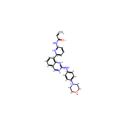 C=CC(=O)Nc1cccc(-c2cccc3cnc(Nc4ccc(N5CCOCC5)cc4)nc23)n1